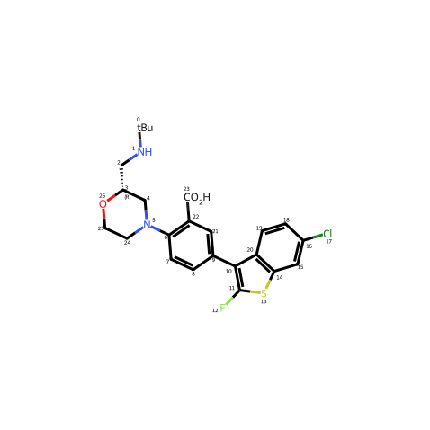 CC(C)(C)NC[C@@H]1CN(c2ccc(-c3c(F)sc4cc(Cl)ccc34)cc2C(=O)O)CCO1